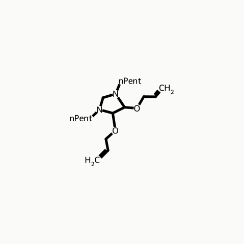 C=CCOC1C(OCC=C)N(CCCCC)CN1CCCCC